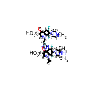 CN1CCN(c2c(F)cc3c(=O)c(C(=O)O)cn(CCF)c3c2F)CC1.C[C@@H]1CN(c2c(F)c(N)c3c(=O)c(C(=O)O)cn(C4CC4)c3c2F)C[C@H](C)N1